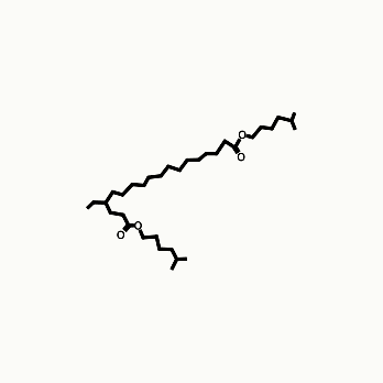 CCC(CCCCCCCCCCCCCC(=O)OCCCCC(C)C)CCC(=O)OCCCCC(C)C